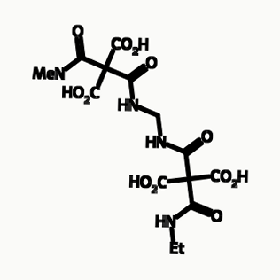 CCNC(=O)C(C(=O)O)(C(=O)O)C(=O)NCNC(=O)C(C(=O)O)(C(=O)O)C(=O)NC